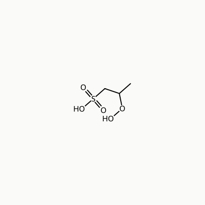 CC(CS(=O)(=O)O)OO